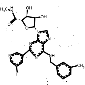 CNC(=O)[C@H]1O[C@@H](n2cnc3c(NCc4cccc(C)c4)nc(-c4cncc(F)c4)nc32)[C@H](O)[C@@H]1O